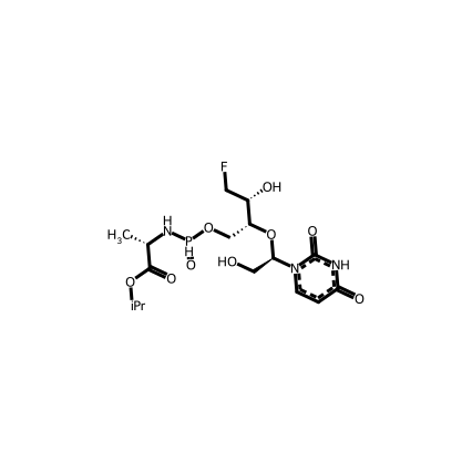 CC(C)OC(=O)[C@H](C)N[PH](=O)OC[C@@H](O[C@H](CO)n1ccc(=O)[nH]c1=O)[C@@H](O)CF